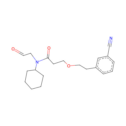 N#Cc1cccc(CCOCCC(=O)N(CC=O)C2CCCCC2)c1